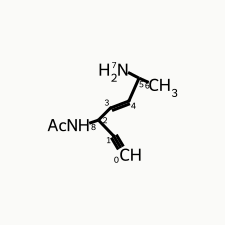 C#CC(C=CC(C)N)NC(C)=O